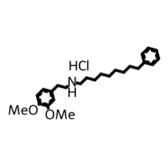 COc1ccc(CCNCCCCCCCCCc2ccccc2)cc1OC.Cl